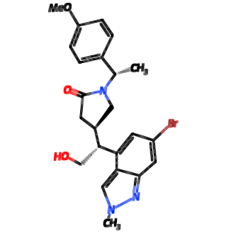 COc1ccc([C@H](C)N2C[C@@H]([C@@H](CO)c3cc(Br)cc4nn(C)cc34)CC2=O)cc1